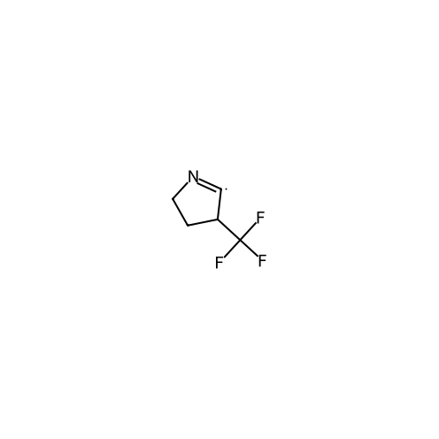 FC(F)(F)C1[C]=NCC1